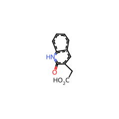 O=C(O)Cc1cc2ccccc2[nH]c1=O